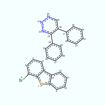 Brc1cccc2c1sc1ccccc12.c1ccc(-c2cnnnc2-c2ccccc2)cc1